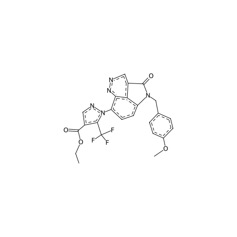 CCOC(=O)c1cnn(-c2ccc3c4c(cnnc24)C(=O)N3Cc2ccc(OC)cc2)c1C(F)(F)F